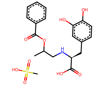 CC(CN[C@@H](Cc1ccc(O)c(O)c1)C(=O)O)OC(=O)c1ccccc1.CS(=O)(=O)O